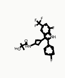 CC(C)(O)C(=O)NC1CC(c2c(-c3ccc(F)cc3)[nH]c3c(F)cc(C(F)(F)F)cc23)C1